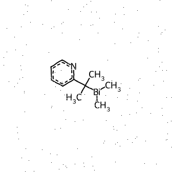 [CH3][Bi]([CH3])[C](C)(C)c1ccccn1